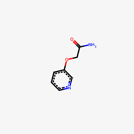 NC(=O)COc1[c]nccc1